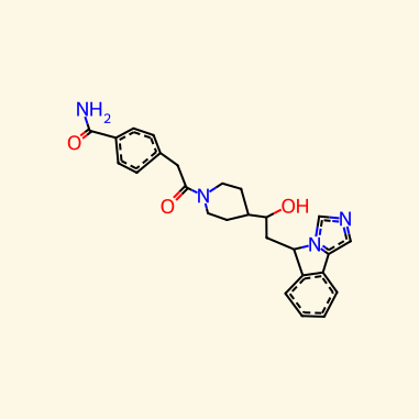 NC(=O)c1ccc(CC(=O)N2CCC(C(O)CC3c4ccccc4-c4cncn43)CC2)cc1